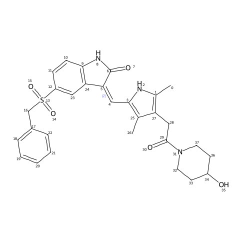 Cc1[nH]c(/C=C2\C(=O)Nc3ccc(S(=O)(=O)Cc4ccccc4)cc32)c(C)c1CC(=O)N1CCC(O)CC1